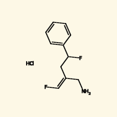 Cl.NC/C(=C/F)CC(F)c1ccccc1